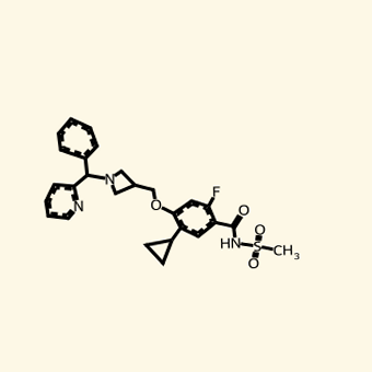 CS(=O)(=O)NC(=O)c1cc(C2CC2)c(OCC2CN(C(c3ccccc3)c3ccccn3)C2)cc1F